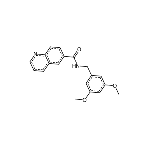 COc1cc(CNC(=O)c2ccc3ncccc3c2)cc(OC)c1